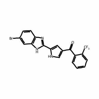 O=C(c1c[nH]c(-c2nc3ccc(Br)cc3[nH]2)c1)c1ccccc1C(F)(F)F